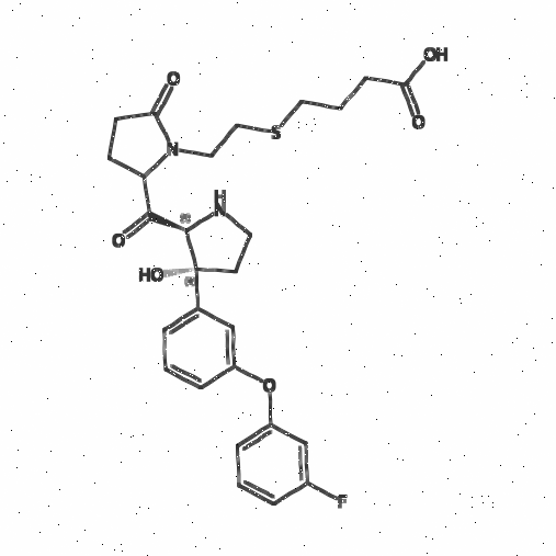 O=C(O)CCCSCCN1C(=O)CCC1C(=O)[C@H]1NCC[C@@]1(O)c1cccc(Oc2cccc(F)c2)c1